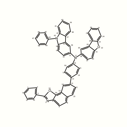 c1ccc(-c2nc3ccc4ccc(-c5ccc(N(c6ccc7oc8ccccc8c7c6)c6ccc7c(c6)c6ccccc6n7-c6ccccc6)cc5)cc4c3o2)cc1